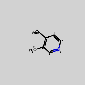 CNc1ccncc1C